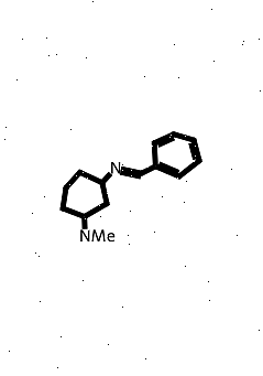 CNC1CCCC(N=Cc2ccccc2)C1